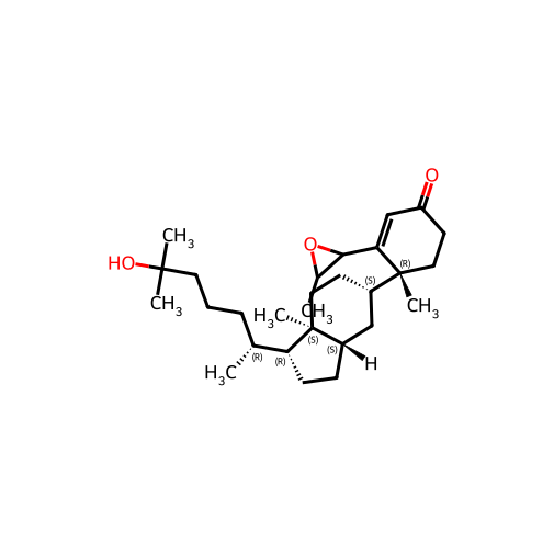 CC1OC1C1=CC(=O)CC[C@]1(C)[C@H]1CC[C@@]2(C)[C@@H](CC[C@@H]2[C@H](C)CCCC(C)(C)O)C1